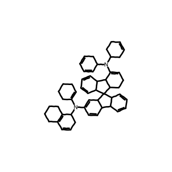 C1=CCC(N(C2=CCCC3C2C2C=CC=CC2C32C3C=CC=CC3C3C=CC(N(C4=CCCCC4)C4CC=CC5=C4CCCC5)=CC32)C2CC=CCC2)C=C1